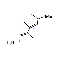 CNC(C)/C=C(C)/C(C)=C/CN